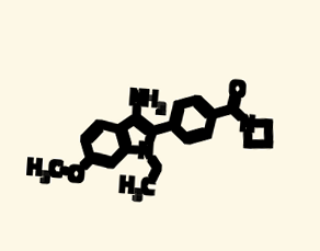 CCn1c(-c2ccc(C(=O)N3CCC3)cc2)c(N)c2ccc(OC)cc21